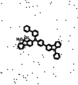 CC1(C)c2ccccc2-c2ccc(N(c3ccc(-c4ccc5c(c4)c4ccccc4n5-c4ccccc4)cc3)c3cccc(C4=CCCC=C4)c3)cc21